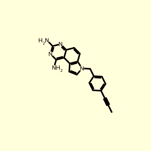 CC#Cc1ccc(Cn2ccc3c4c(N)nc(N)nc4ccc32)cc1